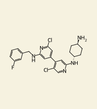 N[C@H]1CC[C@H](Nc2cc(-c3cc(Cl)nc(NCc4cccc(F)c4)c3)c(Cl)cn2)CC1